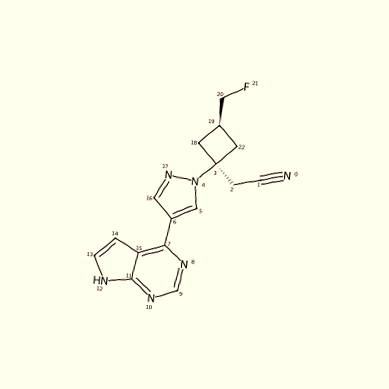 N#CC[C@]1(n2cc(-c3ncnc4[nH]ccc34)cn2)C[C@@H](CF)C1